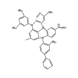 Cc1cc2c3c(c1)N(c1ccc(-c4ccccc4)cc1C(C)(C)C)c1ccc([SiH]=P)cc1B3c1cc(C(C)(C)C)ccc1N2c1cc(C(C)(C)C)cc(C(C)(C)C)c1